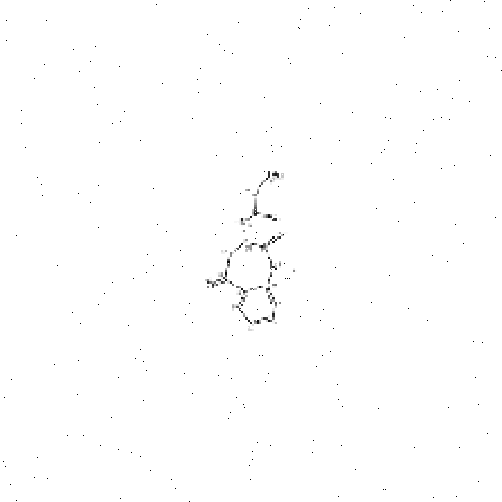 CN1C(=O)[C@@H](NC(=O)OC(C)(C)C)CC(=O)c2ccccc21